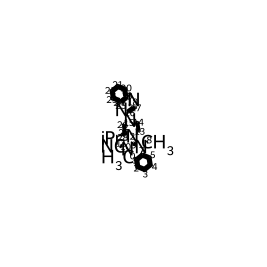 Cc1ccccc1N(C)C(=NC#N)N1CCN(c2cnc3ccccc3n2)CC1C(C)C